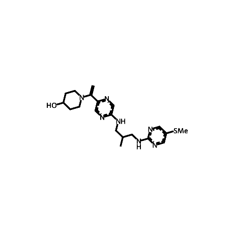 C=C(c1cnc(NCC(C)CNc2ncc(SC)cn2)cn1)N1CCC(O)CC1